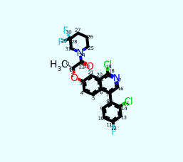 C[C@@H](Oc1ccc2c(-c3ccc(F)cc3Cl)cnc(Cl)c2c1)C(=O)N1CCCC(F)(F)C1